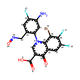 Nc1cc(-n2cc(C(=O)O)c(=O)c3cc(F)c(F)c(Br)c32)c(CN=O)cc1F